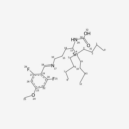 CCC[CH2][Sn]([CH2]CCC)([CH2]CCC)[CH](CCCN=Cc1c(F)cc(OC)cc1F)NC(=O)O